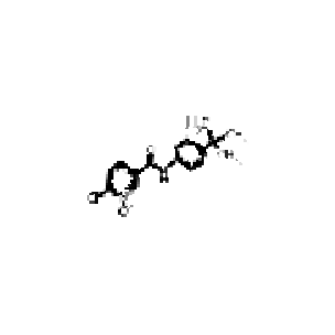 CC(C)(C)c1ccc(NC(=O)c2ccc(Cl)[n+]([O-])c2)cc1